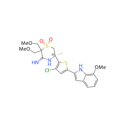 COCC1(COC)C(=N)N[C@](C)(c2sc(-c3cc4cccc(OC)c4[nH]3)cc2Cl)CS1(=O)=O